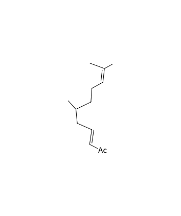 [CH2]C(=O)C=CCC(C)CCC=C(C)C